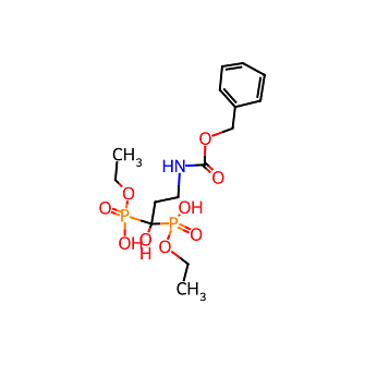 CCOP(=O)(O)C(O)(CCNC(=O)OCc1ccccc1)P(=O)(O)OCC